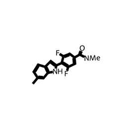 CNC(=O)c1cc(F)c(-c2cc3ccc(C)cc3[nH]2)c(F)c1